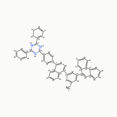 N#Cc1cc(-c2ccc(-c3ccc(-c4nc(C5=CC=CCC5)nc(-c5ccccc5)n4)cc3)c3ccccc23)cc(-c2cc3ccccc3c3ccccc23)c1